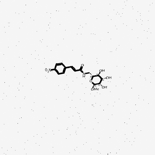 CO[C@H]1O[C@H](CNC(=O)C=Cc2ccc([N+](=O)[O-])cc2)[C@@H](O)[C@H](O)[C@@H]1O